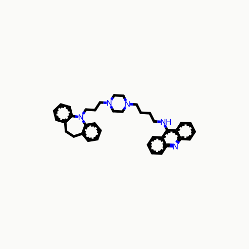 c1ccc2c(c1)CCc1ccccc1N2CCCN1CCN(CCCCNc2c3ccccc3nc3ccccc23)CC1